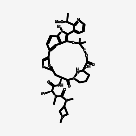 CCn1c(-c2cccnc2[C@H](C)OC)c2c3cc(ccc31)-c1csc(n1)C[C@H](NC(=O)[C@H](C(C)C)N(C)C(=O)N(C)C1CN(C)C1)C(=O)N1CCC[C@@](O)(N1)C(=O)OCC(C)(C)C2